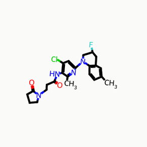 Cc1ccc2c(c1)CC(F)CN2c1cc(Cl)c(NC(=O)CCN2CCCC2=O)c(C)n1